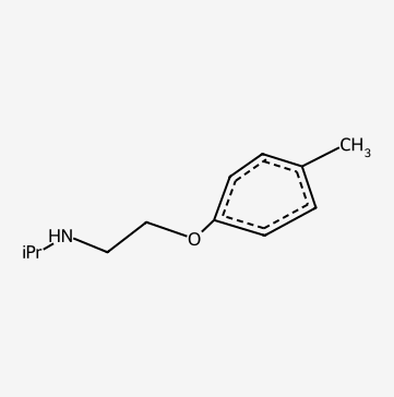 Cc1ccc(OCCNC(C)C)cc1